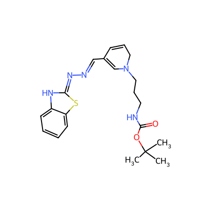 CC(C)(C)OC(=O)NCCCN1C=C(/C=N/N=c2/[nH]c3ccccc3s2)C=CC1